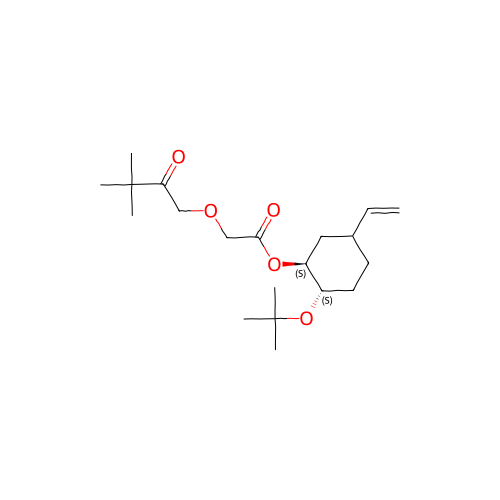 C=CC1CC[C@H](OC(C)(C)C)[C@@H](OC(=O)COCC(=O)C(C)(C)C)C1